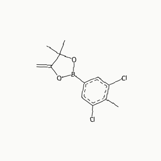 C=C1OB(c2cc(Cl)c(C)c(Cl)c2)OC1(C)C